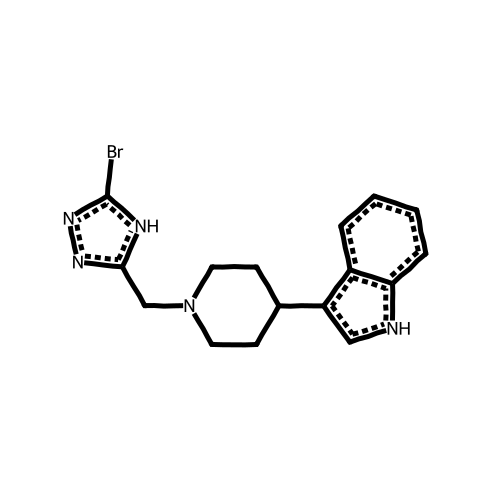 Brc1nnc(CN2CCC(c3c[nH]c4ccccc34)CC2)[nH]1